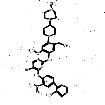 CCc1cc(Nc2ncc(Br)c(Nc3ccc(-c4ncccc4N)cc3P(C)C)n2)c(OC)cc1N1CCC(N2CCN(C)CC2)CC1